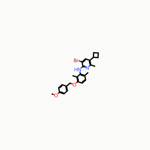 COc1ccc(COc2ccc(C)c(Nc3nc(C)c(C4CCC4)cc3Br)c2C)cc1